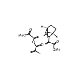 C=C(C(=O)OC)C1C[C@H]2CC[C@@]1(C)C2(C)C.C=C(C)C(=O)OC(=C)C(=O)OC